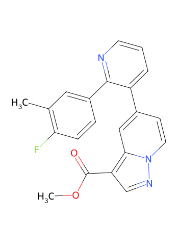 COC(=O)c1cnn2ccc(-c3cccnc3-c3ccc(F)c(C)c3)cc12